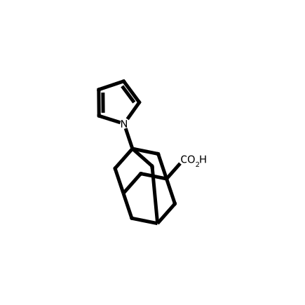 O=C(O)C12CC3CC(C1)CC(n1cccc1)(C3)C2